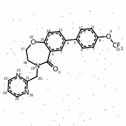 O=C1c2cc(-c3ccc(OC(F)(F)F)cc3)ccc2OCCN1Cc1ncccn1